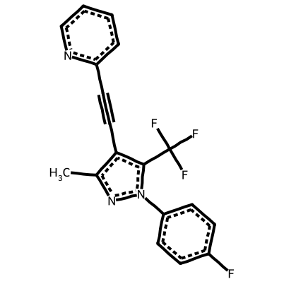 Cc1nn(-c2ccc(F)cc2)c(C(F)(F)F)c1C#Cc1ccccn1